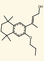 CCCOc1cc2c(cc1C(C)=CCO)C(C)(C)CCC2(C)C